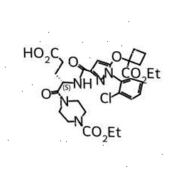 CCOC(=O)N1CCN(C(=O)[C@H](CCC(=O)O)NC(=O)c2cc(OC3(C(=O)OCC)CCC3)n(-c3ccccc3Cl)n2)CC1